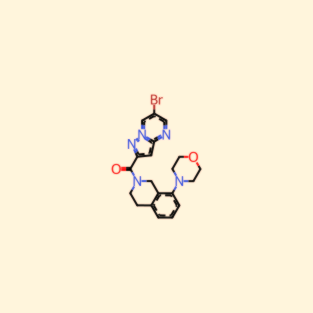 O=C(c1cc2ncc(Br)cn2n1)N1CCc2cccc(N3CCOCC3)c2C1